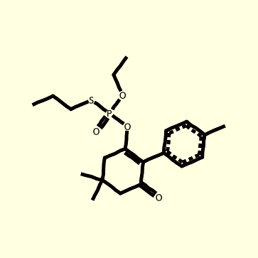 CCCSP(=O)(OCC)OC1=C(c2ccc(C)cc2)C(=O)CC(C)(C)C1